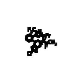 C=C(F)C(=O)N1Cc2sc(Cl)cc2[C@@H](c2ccccc2-c2cn(CCC)nc2C(F)(F)F)C1